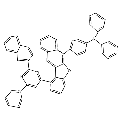 c1ccc(-c2cc(-c3cccc4oc5c(-c6ccc(N(c7ccccc7)c7ccccc7)cc6)c6ccccc6cc5c34)nc(-c3ccc4ccccc4c3)n2)cc1